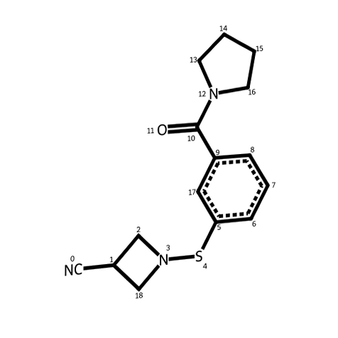 N#CC1CN(Sc2cccc(C(=O)N3CCCC3)c2)C1